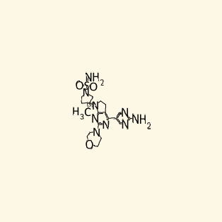 C[C@]1(N2CCc3c(-c4cnc(N)nc4)nc(N4CCOCC4)nc32)CCN(S(N)(=O)=O)C1